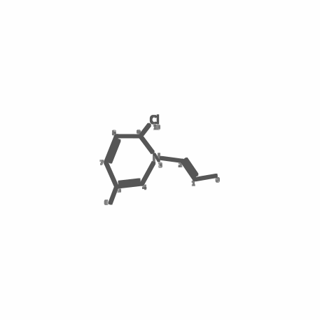 CC=CN1C=C(C)C=CC1Cl